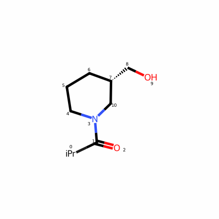 CC(C)C(=O)N1CCC[C@H](CO)C1